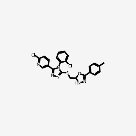 Cc1ccc(C2=NNC(CSc3nnc(-c4ccc(Cl)nc4)n3-c3ccccc3Cl)O2)cc1